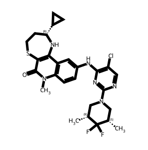 C[C@@H]1CN(c2ncc(Cl)c(Nc3ccc4c(c3)c3c(c(=O)n4C)SCC[C@H](C4CC4)N3)n2)C[C@H](C)C1(F)F